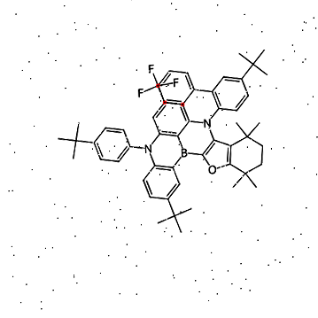 CC(C)(C)c1ccc(N2c3ccc(C(C)(C)C)cc3B3c4oc5c(c4N(c4ccc(C(C)(C)C)cc4-c4ccccc4)c4cc(C(F)(F)F)cc2c43)C(C)(C)CCC5(C)C)cc1